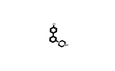 Clc1ccc(-c2cccc(N3CCNCC3)c2)cc1